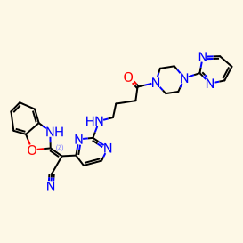 N#C/C(=C1/Nc2ccccc2O1)c1ccnc(NCCCC(=O)N2CCN(c3ncccn3)CC2)n1